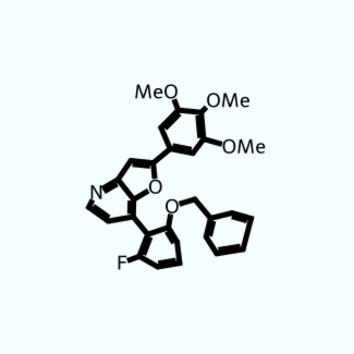 COc1cc(-c2cc3nccc(-c4c(F)cccc4OCc4ccccc4)c3o2)cc(OC)c1OC